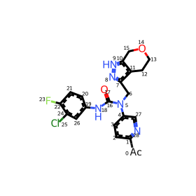 CC(=O)c1ccc(N(Cc2n[nH]c3c2CCOC3)C(=O)Nc2ccc(F)c(Cl)c2)cn1